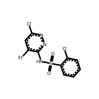 CCc1cc(Cl)nnc1NS(=O)(=O)c1ccccc1Cl